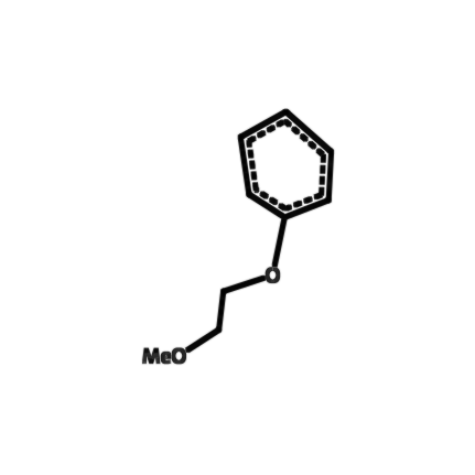 [C]OCCOc1ccccc1